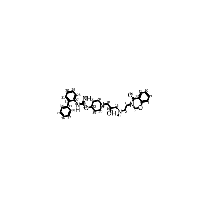 CN(CCN1COc2ccccc2C1=O)CC(O)CN1CCC(OC(=N)Nc2ccccc2-c2ccccc2)CC1